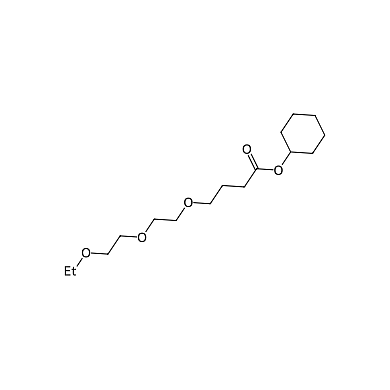 CCOCCOCCOCCCC(=O)OC1CCCCC1